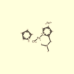 CN(C)Cc1ccc[c-]1[Pd][Cl].[Fe+2].c1cc[cH-]c1